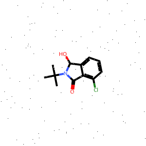 CC(C)(C)N1C(=O)c2c(Cl)cccc2C1O